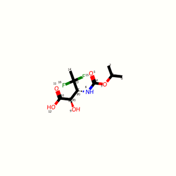 CC(C)OC(=O)N[C@H]([C@@H](O)C(=O)O)C(C)(F)F